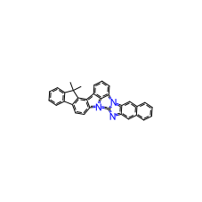 CC1(C)c2ccccc2-c2ccc3c(c21)c1cccc2c1n3c1nc3cc4ccccc4cc3n21